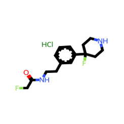 Cl.O=C(CF)NCCc1cccc(C2(F)CCNCC2)c1